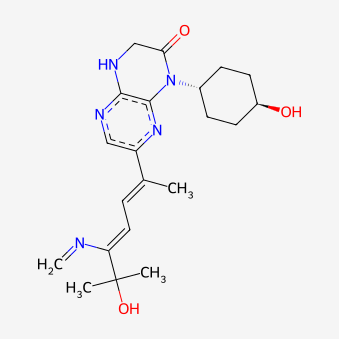 C=N/C(=C\C=C(/C)c1cnc2c(n1)N([C@H]1CC[C@H](O)CC1)C(=O)CN2)C(C)(C)O